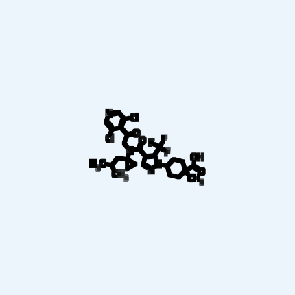 CC(C)CC1(N(CC(=O)c2c(Cl)cncc2Cl)C(=O)c2cnn(C3CCC(C)(C(=O)O)CC3)c2C(F)(F)F)CC1